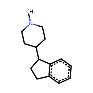 CN1CCC([C]2CCc3ccccc32)CC1